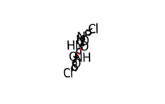 O=C(N[C@H]1CC[C@H](NC(=O)c2nnc(-c3ccc(Cl)cc3)o2)CC1)c1cc2cc(Cl)ccc2o1